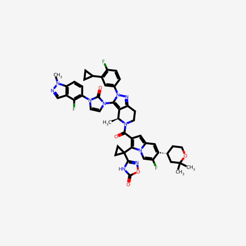 C[C@H]1c2c(nn(-c3ccc(F)c(C4CC4)c3)c2-n2ccn(-c3ccc4c(cnn4C)c3F)c2=O)CCN1C(=O)c1cc2cc([C@@H]3CCOC(C)(C)C3)c(F)cn2c1C1(c2noc(=O)[nH]2)CC1